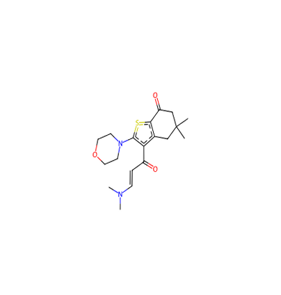 CN(C)C=CC(=O)c1c(N2CCOCC2)sc2c1CC(C)(C)CC2=O